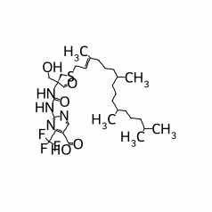 C/C(=C\CSC[C@](C=O)(CO)NC(=O)Nc1ncc(C(=O)O)c(C(F)(F)F)n1)CCCC(C)CCCC(C)CCCC(C)C